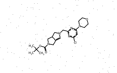 CC(C)(C)OC(=O)N1CC2=CN(Cc3nc(Cl)cc(N4CCOCC4)n3)CC2C1